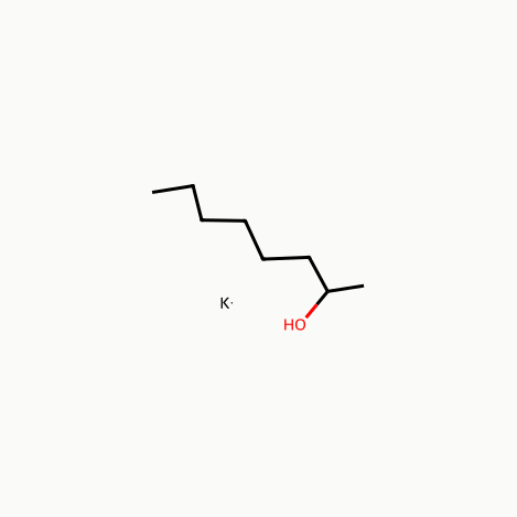 CCCCCCC(C)O.[K]